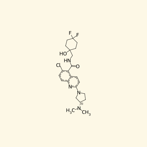 CN(C)[C@H]1CCN(c2ccc3c(C(=O)NCC4(O)CCC(F)(F)CC4)c(Cl)ccc3n2)C1